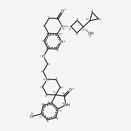 O=C1CCc2cc(OCCN3CCC4(CC3)C(=O)Nc3ccc(Cl)cc34)cnc2N1[C@H]1C[C@](O)(C2CC2)C1